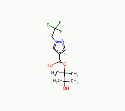 CC(C)(O)C(C)(C)OB(O)c1cnn(CC(F)(F)F)c1